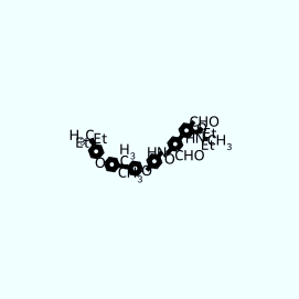 CCC(C)(CC)NC(=O)c1cc(-c2ccc(C(=O)Nc3ccc(Oc4ccc(C(C)(C)c5ccc(Oc6ccc(C(C)(CC)CC)cc6)cc5)cc4)cc3)c(C=O)c2)ccc1C=O